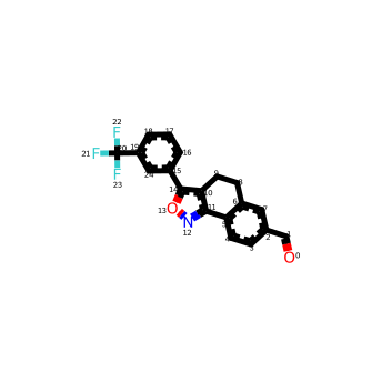 O=Cc1ccc2c(c1)CCc1c-2noc1-c1cccc(C(F)(F)F)c1